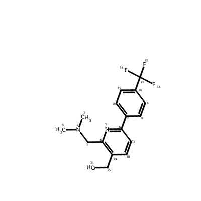 CN(C)Cc1nc(-c2ccc(C(F)(F)F)cc2)ccc1CO